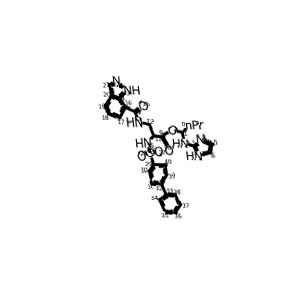 CCCC(Nc1ncc[nH]1)OC(=O)C(CNC(=O)c1cccc2cn[nH]c12)NS(=O)(=O)c1ccc(-c2ccccc2)cc1